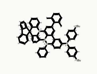 Cc1cccc(C)c1-c1cc2c3c(c1)N1c4ccccc4C4(c5ccccc5-c5ccccc54)c4cccc(c41)B3N(c1ccccc1)c1ccc(N(c3ccc(C(C)(C)C)cc3)c3ccc(C(C)(C)C)cc3)cc1-2